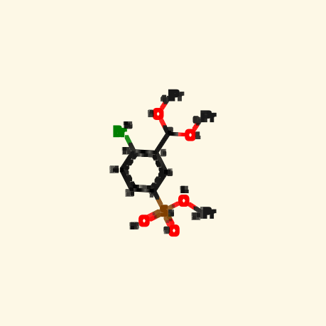 CC(C)OC(OC(C)C)c1cc(S(=O)(=O)OC(C)C)ccc1Br